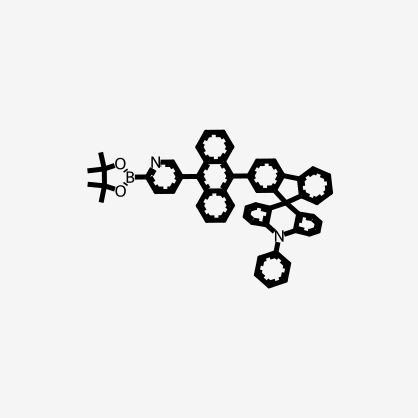 CC1(C)OB(c2ccc(-c3c4ccccc4c(-c4ccc5c(c4)C4(c6ccccc6-5)c5ccccc5N(c5ccccc5)c5ccccc54)c4ccccc34)cn2)OC1(C)C